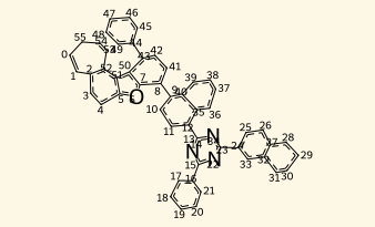 C1=Cc2ccc3oc4c(-c5ccc(-c6nc(-c7ccccc7)nc(-c7ccc8ccccc8c7)n6)c6ccccc56)ccc(-c5ccccc5)c4c3c2C=CC1